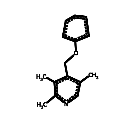 Cc1cnc(C)c(C)c1COc1cc[c]cc1